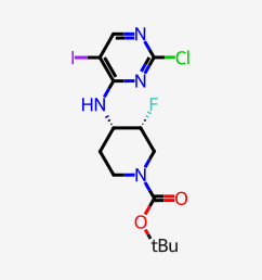 CC(C)(C)OC(=O)N1CC[C@H](Nc2nc(Cl)ncc2I)[C@H](F)C1